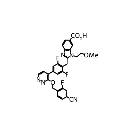 COCCn1c(Cc2c(F)cc(-c3ccnnc3OCc3ccc(C#N)cc3F)cc2F)nc2ccc(C(=O)O)cc21